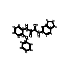 O=C(Nc1ccc2c(c1)CCC2)C(=O)Nc1ccccc1Oc1ccccc1